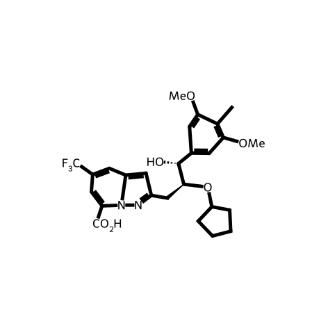 COc1cc([C@@H](O)[C@H](Cc2cc3cc(C(F)(F)F)cc(C(=O)O)n3n2)OC2CCCC2)cc(OC)c1C